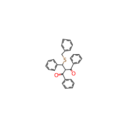 O=C(c1ccccc1)C(C(=O)c1ccccc1)C(SCc1ccccc1)c1ccccc1